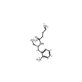 C=CCCC(=O)N[C@H](CC(=O)O)Cc1ccccc1N